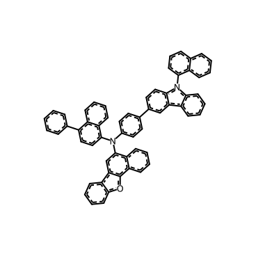 c1ccc(-c2ccc(N(c3ccc(-c4ccc5c(c4)c4ccccc4n5-c4cccc5ccccc45)cc3)c3cc4c5ccccc5oc4c4ccccc34)c3ccccc23)cc1